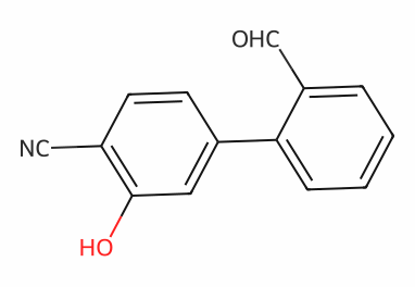 N#Cc1ccc(-c2ccccc2C=O)cc1O